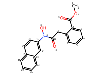 COC(=O)c1ccccc1CC(=O)N(O)c1ccc2ccccc2c1